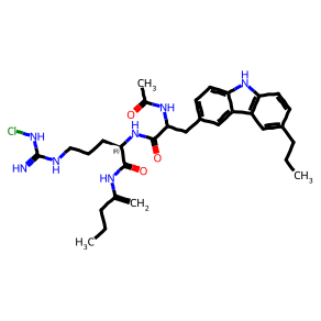 C=C(CCC)NC(=O)[C@@H](CCCNC(=N)NCl)NC(=O)C(Cc1ccc2[nH]c3ccc(CCC)cc3c2c1)NC(C)=O